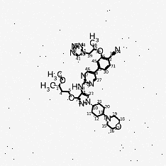 CO[C@@H](C)CCOc1nn([C@H]2CC[C@H](N3CCOCC3)CC2)cc1Nc1ncc(-c2ccc(C#N)c(O[C@@H](C)Cn3cnnn3)c2)cn1